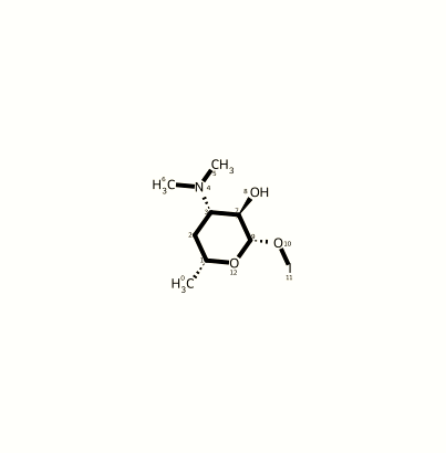 C[C@@H]1C[C@H](N(C)C)[C@@H](O)[C@H](OI)O1